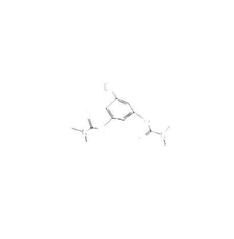 CCc1cc(OC(=O)N(C)C)cc(OC(=O)N(C)C)c1